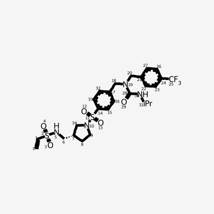 C=CS(=O)(=O)NC[C@H]1CCN(S(=O)(=O)c2ccc(CN(Cc3ccc(C(F)(F)F)cc3)C(=O)NC(C)C)cc2)C1